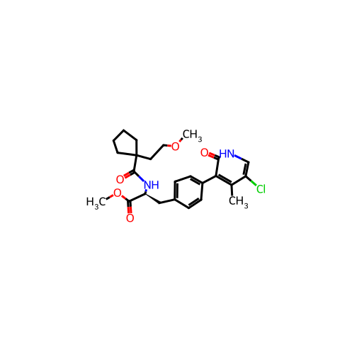 COCCC1(C(=O)N[C@@H](Cc2ccc(-c3c(C)c(Cl)c[nH]c3=O)cc2)C(=O)OC)CCCC1